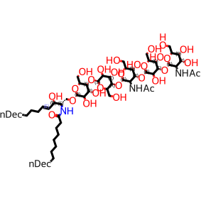 CCCCCCCCCCCCC/C=C/[C@@H](O)[C@H](CO[C@@H]1OC(CO)[C@@H](O[C@@H]2OC(CO)[C@H](O[C@@H]3OC(CO)[C@H](O)[C@H](O[C@@H]4OC(CO)[C@H](O)[C@H](O[C@@H]5OC(CO)[C@H](O)[C@H](O)C5NC(C)=O)C4O)C3NC(C)=O)[C@H](O)C2O)[C@H](O)C1O)NC(=O)CCCCCCCCCCCCCCCCC